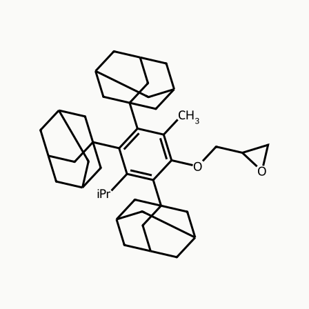 Cc1c(OCC2CO2)c(C23CC4CC(CC(C4)C2)C3)c(C(C)C)c(C23CC4CC(CC(C4)C2)C3)c1C12CC3CC(CC(C3)C1)C2